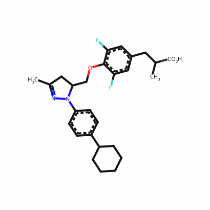 CC1=NN(c2ccc(C3CCCCC3)cc2)C(COc2c(F)cc(CC(C)C(=O)O)cc2F)C1